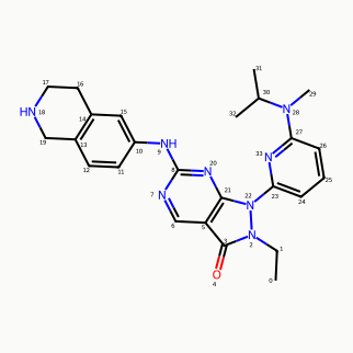 CCn1c(=O)c2cnc(Nc3ccc4c(c3)CCNC4)nc2n1-c1cccc(N(C)C(C)C)n1